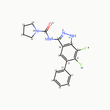 O=C(Nc1n[nH]c2c(F)c(F)c(-c3ccccc3)cc12)N1CCCC1